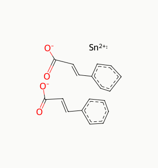 O=C([O-])C=Cc1ccccc1.O=C([O-])C=Cc1ccccc1.[Sn+2]